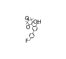 CCc1ccc(-c2ccc(CF)cc2)cc1C1=C(O)C(C)(C)C(=O)C(C)(C)C1=O